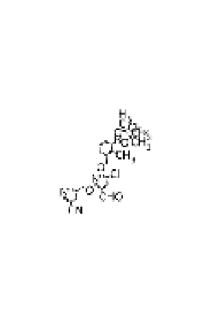 Cc1c(COc2nc(OCc3cncc(C#N)c3)c(C=O)cc2Cl)cccc1B1OC(C)(C)C(C)(C)O1